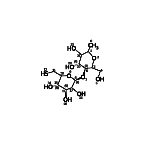 CC1OC(CO)[C@@H](O[C@@H]2OC(CS)[C@@H](O)[C@H](O)C2O)[C@H](O)C1O